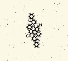 N#Cc1cccc(-c2cccc(C#N)c2-n2c3ccccc3c3c4oc5ccccc5c4ccc32)c1-n1c2ccccc2c2c3oc4ccccc4c3ccc21